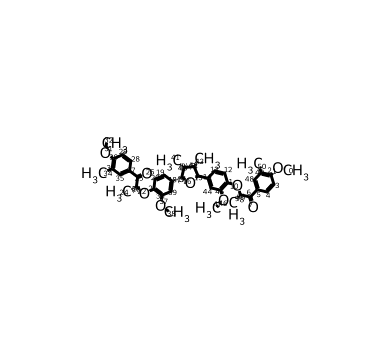 COc1ccc(C(=O)[C@@H](C)Oc2ccc(C3O[C@H](c4ccc(O[C@H](C)C(=O)c5ccc(OC)c(C)c5)c(OC)c4)[C@H](C)[C@H]3C)cc2OC)cc1C